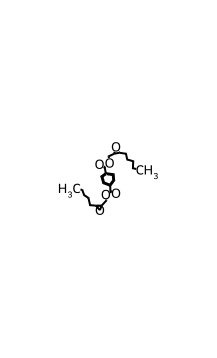 CCCCCC1OC1COC(=O)c1ccc(C(=O)OCC2OC2CCCCC)cc1